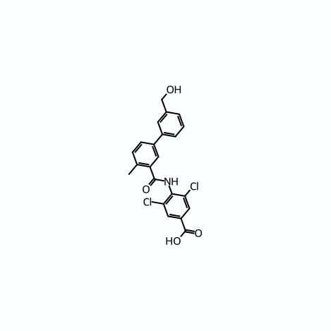 Cc1ccc(-c2cccc(CO)c2)cc1C(=O)Nc1c(Cl)cc(C(=O)O)cc1Cl